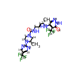 C[C@@H](/C=C/CNC(=O)N1CCN(c2ncc(C(F)(F)F)cn2)[C@@H](C)C1)Nc1cn[nH]c(=O)c1C(F)(F)F